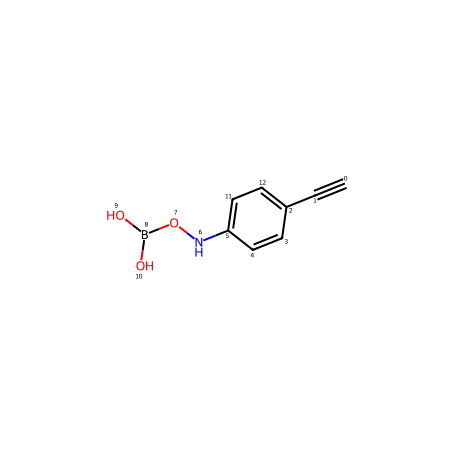 C#Cc1ccc(NOB(O)O)cc1